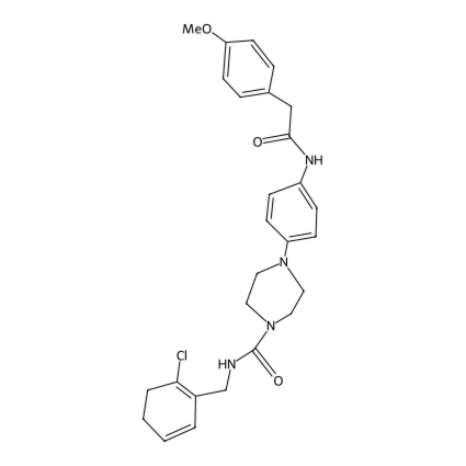 COc1ccc(CC(=O)Nc2ccc(N3CCN(C(=O)NCC4=C(Cl)CCC=C4)CC3)cc2)cc1